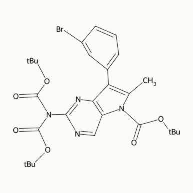 Cc1c(-c2cccc(Br)c2)c2nc(N(C(=O)OC(C)(C)C)C(=O)OC(C)(C)C)ncc2n1C(=O)OC(C)(C)C